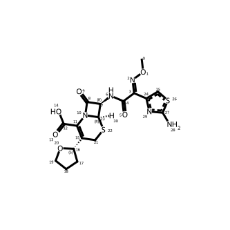 CON=C(C(=O)N[C@@H]1C(=O)N2C(C(=O)O)=C([C@@H]3CCCO3)CS[C@H]12)c1csc(N)n1